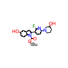 CC(C)(C)OC(=O)n1c(-c2ccc(N3CCC[C@H](O)C3)nc2F)cc2cc(O)ccc21